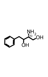 N[C@@H](CO)C(O)Cc1ccccc1